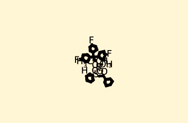 CC(C)(OB(O)OS(C)(CC(=O)c1ccccc1)c1ccccc1)C(c1ccc(F)cc1)(c1ccc(F)cc1)c1ccc(F)cc1